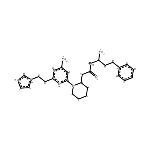 Cc1cc(N2CCCCC2CC(=O)NC(C)CCc2ccccc2)nc(CCn2ccnc2)n1